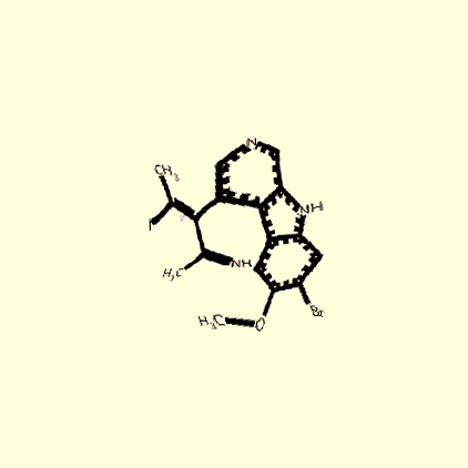 COc1cc2c(cc1Br)[nH]c1cncc(/C(C(C)=N)=C(\C)I)c12